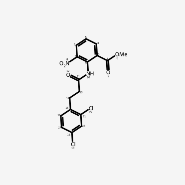 COC(=O)c1cccc([N+](=O)[O-])c1NC(=O)CCc1ccc(Cl)cc1Cl